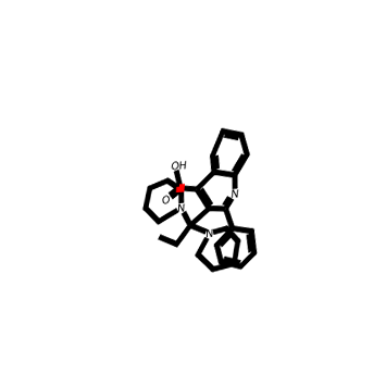 CCC(c1c(-c2ccccc2)nc2ccccc2c1C(=O)O)(N1CCCCC1)N1CCCCC1